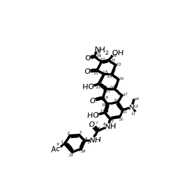 CC(=O)c1ccc(NC(=O)Nc2cc(N(C)C)c3c(c2O)C(=O)C2=C(O)C4C(=O)C(C(N)=O)=C(O)CC4CC2C3)cc1